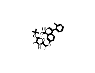 Cc1ccccc1-c1c[nH]c(=O)c2cc(O[C@H](C)C(=O)N[C@@H](C)C(=O)OC(C)(C)C)ccc12